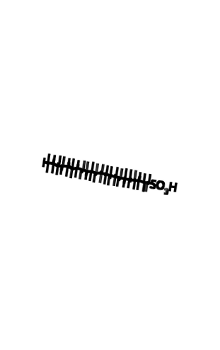 O=S(=O)(O)C(I)(I)C(I)(I)C(I)(I)C(I)(I)C(I)(I)C(I)(I)C(I)(I)C(I)(I)C(I)(I)C(I)(I)C(I)(I)C(I)(I)C(I)(I)C(I)(I)C(I)(I)C(I)(I)C(I)(I)C(I)(I)C(I)(I)C(I)(I)C(I)(I)C(I)(I)I